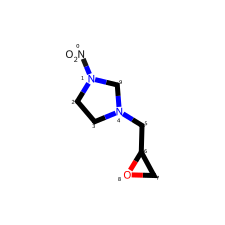 O=[N+]([O-])N1CCN(CC2CO2)C1